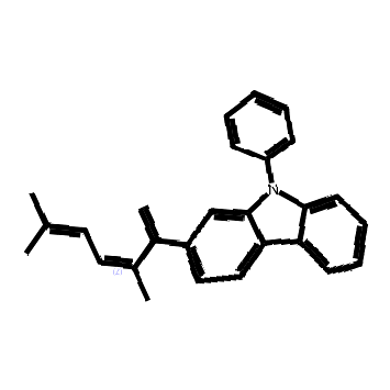 C=C(/C(C)=C\C=C(C)C)c1ccc2c3ccccc3n(-c3ccccc3)c2c1